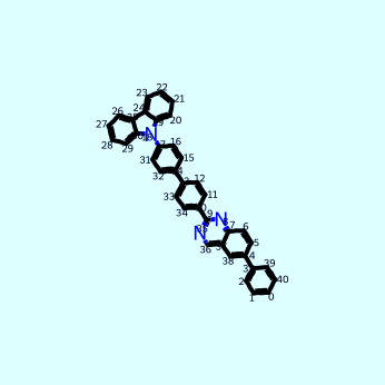 c1ccc(-c2ccc3nc(-c4ccc(-c5ccc(-n6c7ccccc7c7ccccc76)cc5)cc4)ncc3c2)cc1